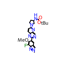 COc1c(-c2ncc3nc(N4CCC(NC(=O)OC(C)(C)C)C4)ccc3n2)cc2cn(C)nc2c1F